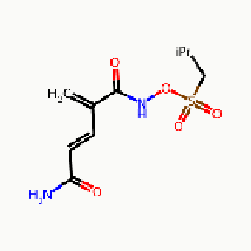 C=C(C=CC(N)=O)C(=O)NOS(=O)(=O)CC(C)C